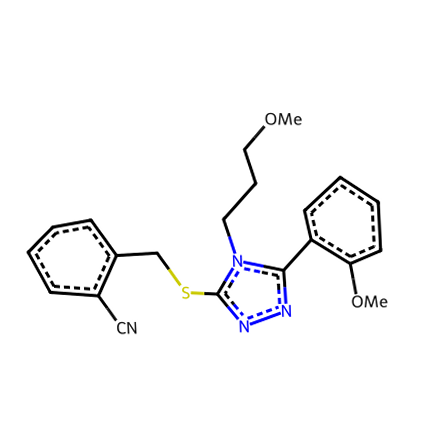 COCCCn1c(SCc2ccccc2C#N)nnc1-c1ccccc1OC